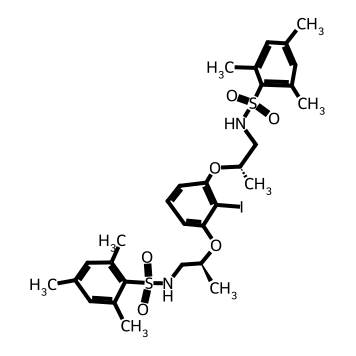 Cc1cc(C)c(S(=O)(=O)NC[C@H](C)Oc2cccc(O[C@@H](C)CNS(=O)(=O)c3c(C)cc(C)cc3C)c2I)c(C)c1